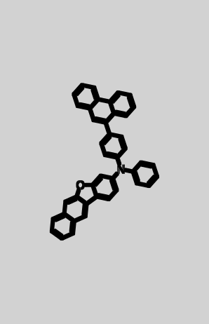 c1ccc(N(c2ccc(-c3cc4ccccc4c4ccccc34)cc2)c2ccc3c(c2)oc2cc4ccccc4cc23)cc1